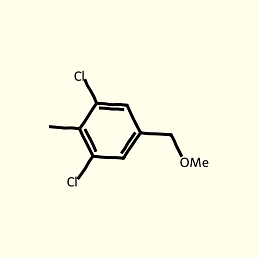 COCc1cc(Cl)c(C)c(Cl)c1